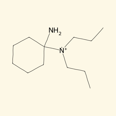 CCC[N+](CCC)C1(N)CCCCC1